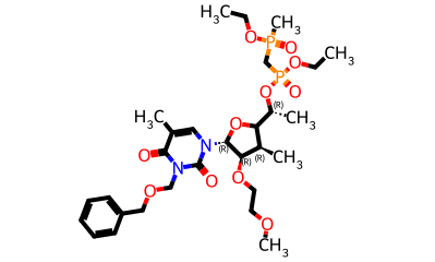 CCOP(C)(=O)CP(=O)(OCC)O[C@H](C)C1O[C@@H](n2cc(C)c(=O)n(COCc3ccccc3)c2=O)[C@H](OCCOC)[C@@H]1C